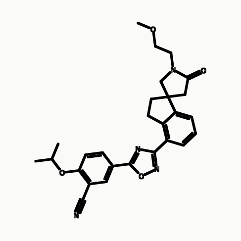 COCCN1CC2(CCc3c(-c4noc(-c5ccc(OC(C)C)c(C#N)c5)n4)cccc32)CC1=O